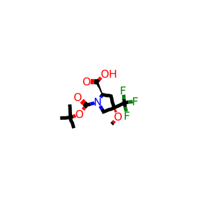 CO[C@]1(C(F)(F)F)C[C@H](C(=O)O)N(C(=O)OC(C)(C)C)C1